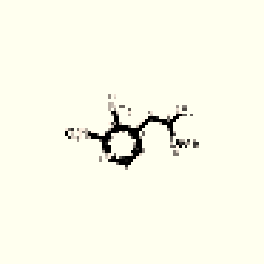 CCC(Cc1ccnc([N+](=O)[O-])c1N)OC